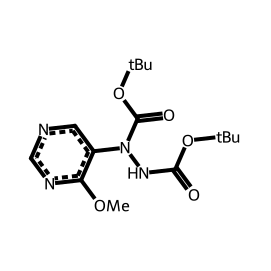 COc1ncncc1N(NC(=O)OC(C)(C)C)C(=O)OC(C)(C)C